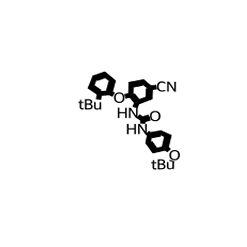 CC(C)(C)Oc1ccc(NC(=O)Nc2cc(C#N)ccc2Oc2ccccc2C(C)(C)C)cc1